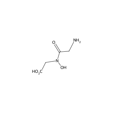 NCC(=O)N(O)CC(=O)O